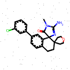 CN1C(=O)C2(N=C1N)c1cc(-c3cccc(Cl)c3)ccc1CCC21CCOCC1